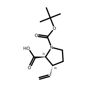 C=C[C@H]1CCN(C(=O)OC(C)(C)C)[C@@H]1C(=O)O